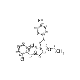 CCOC[C@]1(CCc2ccc(F)cc2)CCN(Cc2c(Cl)cncc2Cl)C1